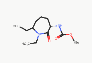 CC(C)(C)OC(=O)N[C@H]1CCCC(CC=O)N(CC(=O)O)C1=O